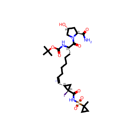 CC(C)(C)OC(=O)N[C@@H](CCCCC/C=C\[C@@H]1C[C@]1(I)C(=O)NS(=O)(=O)C1(C)CC1)C(=O)N1C[C@H](O)C[C@H]1C(N)=O